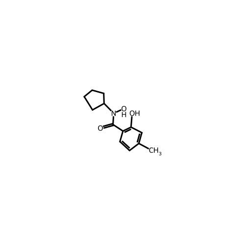 Cc1ccc(C(=O)N(O)C2CCCC2)c(O)c1